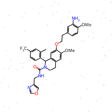 COc1ccc(CCOc2cc3c(cc2OC)CCN(C(=O)NCc2cocn2)C3c2ccc(C(F)(F)F)cc2C)cc1N